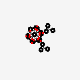 c1ccc(-n2c3ccccc3c3cc(-c4ccc5c(c4)c4cc(-c6ccc7c(c6)c6ccccc6n7-c6ccccc6)ccc4n5-c4c(-n5c6ccccc6c6ccccc65)c(-n5c6ccccc6c6ccccc65)c(-n5cnc6ccccc65)c(-n5c6ccccc6c6ccccc65)c4-n4c5ccccc5c5ccccc54)ccc32)cc1